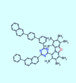 Bc1c(B)c(B)c2c(oc3c(B)c(B)c(B)c(-c4nc(-c5cccc(-c6ccc(-c7ccc8ccccc8c7)cc6)c5)nc(-c5ccc6ccc(-c7ccccc7)cc6c5)n4)c32)c1B